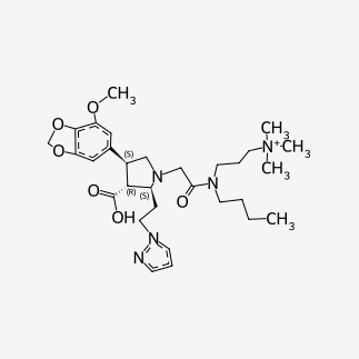 CCCCN(CCC[N+](C)(C)C)C(=O)CN1C[C@H](c2cc(OC)c3c(c2)OCO3)[C@@H](C(=O)O)[C@@H]1CCn1cccn1